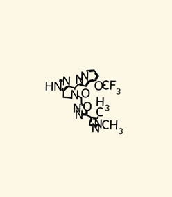 Cc1c(-c2nnc(C(=O)N3CCc4[nH]cnc4C3c3cc4c(OC(F)(F)F)cccn4n3)o2)cnn1C